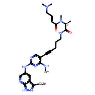 CCCNc1nc(Nc2cnc3[nH]nc(OC)c3c2)ncc1C#CCCCNC(=O)[C@H](C)N(C)C(=O)/C=C/CN(C)C